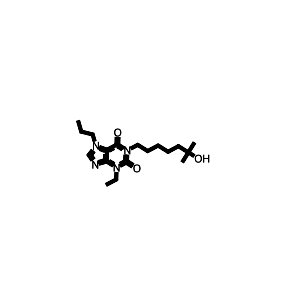 CCCn1cnc2c1c(=O)n(CCCCCC(C)(C)O)c(=O)n2CC